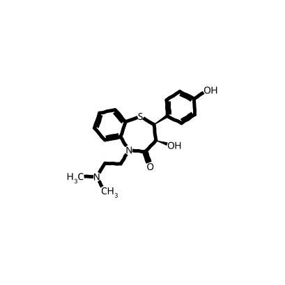 CN(C)CCN1C(=O)[C@H](O)[C@H](c2ccc(O)cc2)Sc2ccccc21